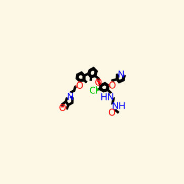 CC(=O)NCCNCc1cc(Cl)c(OCc2cccc(-c3cccc(OCCCN4CCC5COCC5C4)c3C)c2C)cc1OCc1cccnc1